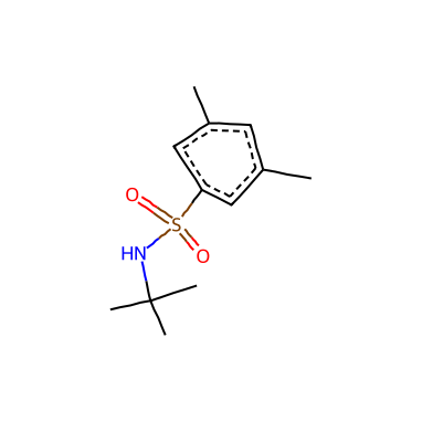 Cc1cc(C)cc(S(=O)(=O)NC(C)(C)C)c1